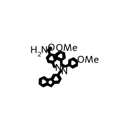 COc1ccc(-c2nc(-c3ccc4c(c3)-c3ccccc3C4)n(Cc3ccc(C(N)=O)cc3)c2-c2ccc(OC)cc2)cc1